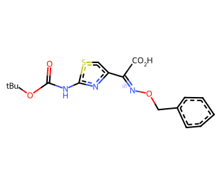 CC(C)(C)OC(=O)Nc1nc(/C(=N/OCc2ccccc2)C(=O)O)cs1